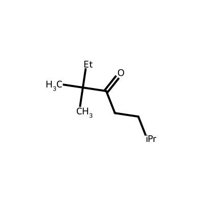 CCC(C)(C)C(=O)CCC(C)C